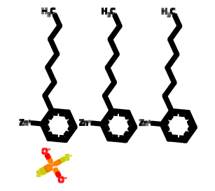 CCCCCCCc1cccc[c]1[Zn+].CCCCCCCc1cccc[c]1[Zn+].CCCCCCCc1cccc[c]1[Zn+].[O-]P([O-])(=S)[S-]